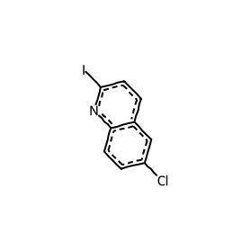 Clc1ccc2nc(I)ccc2c1